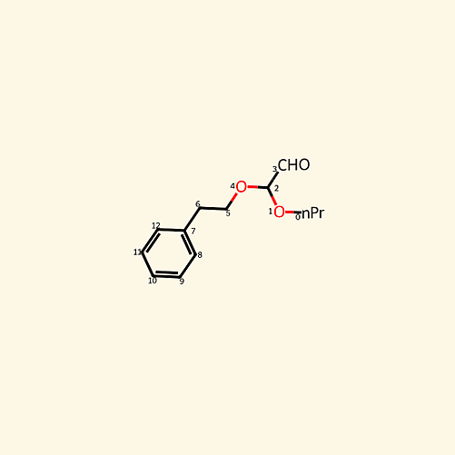 CCCOC(C=O)OCCc1ccccc1